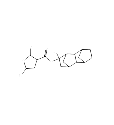 CCC1CC(C(=O)OC2(CC)CC3CC2C2C4CCC(C4)C32)C(CC)O1